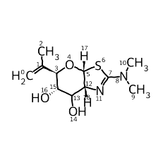 C=C(C)[C@H]1O[C@@H]2SC(N(C)C)=N[C@@H]2C(O)[C@@H]1O